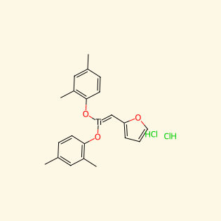 Cc1ccc([O][Ti](=[CH]c2ccco2)[O]c2ccc(C)cc2C)c(C)c1.Cl.Cl